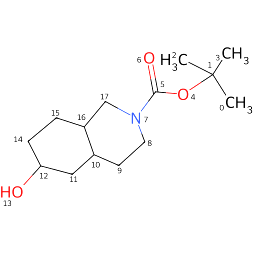 CC(C)(C)OC(=O)N1CCC2CC(O)CCC2C1